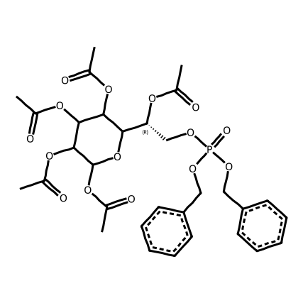 CC(=O)OC1OC([C@@H](COP(=O)(OCc2ccccc2)OCc2ccccc2)OC(C)=O)C(OC(C)=O)C(OC(C)=O)C1OC(C)=O